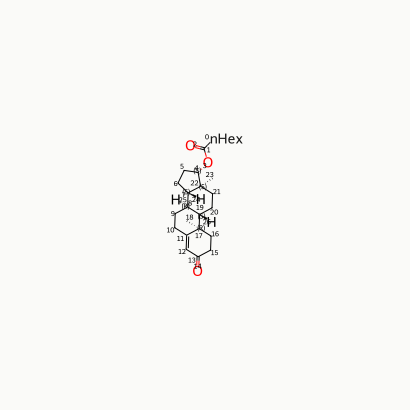 CCCCCCC(=O)O[C@H]1CC[C@H]2[C@@H]3CCC4=CC(=O)CC[C@]4(C)[C@H]3CC[C@]12C